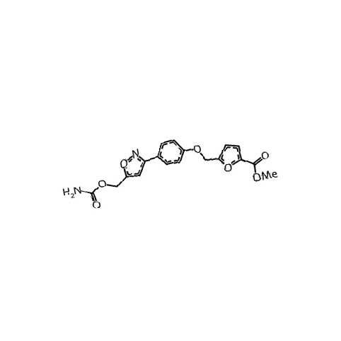 COC(=O)c1ccc(COc2ccc(-c3cc(COC(N)=O)on3)cc2)o1